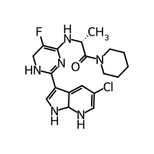 C[C@@H](NC1=C(F)CNC(C2=CNC3NC=C(Cl)C=C23)=N1)C(=O)N1CCCCC1